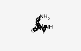 NCC1CCN(Cc2cc3nc(-c4cc(F)cc5[nH]ccc45)nc(N4CCOCC4)c3s2)CC1